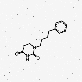 O=C1CCN(CCCCc2ccccc2)C(=O)N1